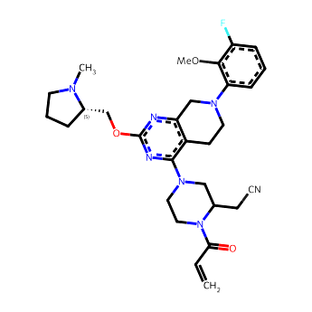 C=CC(=O)N1CCN(c2nc(OC[C@@H]3CCCN3C)nc3c2CCN(c2cccc(F)c2OC)C3)CC1CC#N